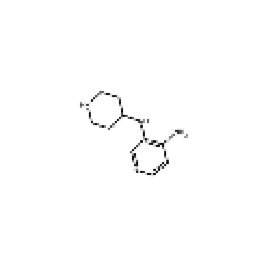 Nc1ccncc1NC1CCNCC1